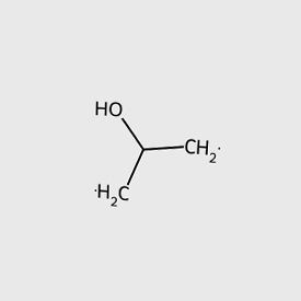 [CH2]C([CH2])O